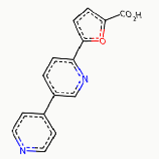 O=C(O)c1ccc(-c2ccc(-c3ccncc3)cn2)o1